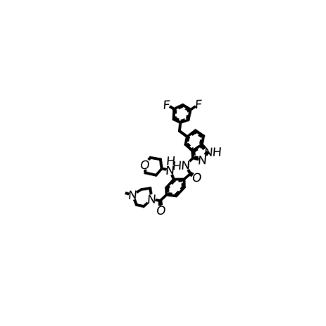 CN1CCN(C(=O)c2ccc(C(=O)Nc3n[nH]c4ccc(Cc5cc(F)cc(F)c5)cc34)c(NC3CCOCC3)c2)CC1